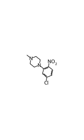 CN1CCN(c2cc(Cl)ccc2[N+](=O)[O-])CC1